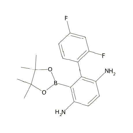 CC1(C)OB(c2c(N)ccc(N)c2-c2ccc(F)cc2F)OC1(C)C